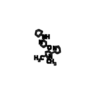 Cc1cc(Oc2ccnc(Nc3ccccc3)c2)c(-c2ccccn2)nc1C